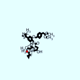 COC(Cc1ccc(COc2cc(-c3scnc3C)ccc2CNC(=O)[C@@H]2C[C@@H](O)CN2C(=O)[C@@H](NC(=O)C2(F)CC2)C(C)(C)C)cc1)OC